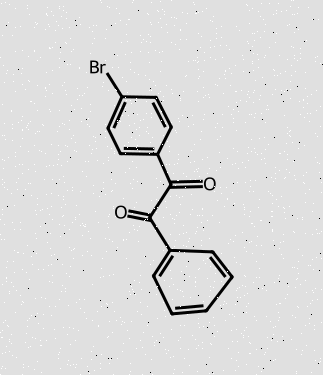 O=C(C(=O)c1ccc(Br)cc1)c1ccccc1